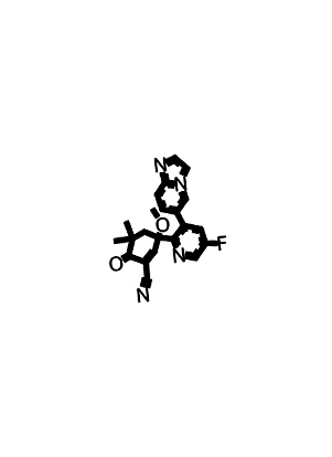 COC1(c2ncc(F)cc2-c2ccc3nccn3c2)C=C(C#N)C(=O)C(C)(C)C1